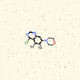 [2H]c1c(N2CCOCC2)cc2ncnc(Cl)c2c1[2H]